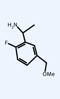 COCc1ccc(F)c(C(C)N)c1